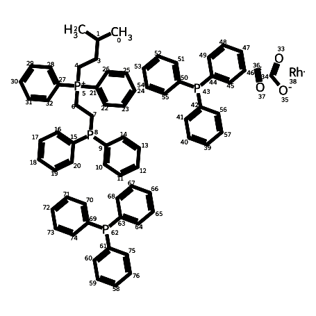 CC(C)CC[P+](CCP(c1ccccc1)c1ccccc1)(c1ccccc1)c1ccccc1.O=C[O-].[C]=O.[Rh].c1ccc(P(c2ccccc2)c2ccccc2)cc1.c1ccc(P(c2ccccc2)c2ccccc2)cc1